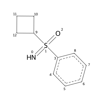 N=S(=O)(c1ccccc1)C1CCC1